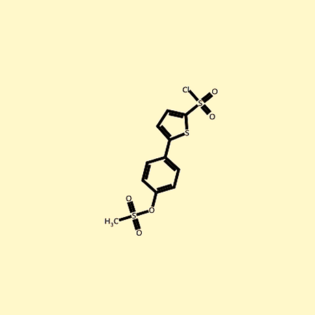 CS(=O)(=O)Oc1ccc(-c2ccc(S(=O)(=O)Cl)s2)cc1